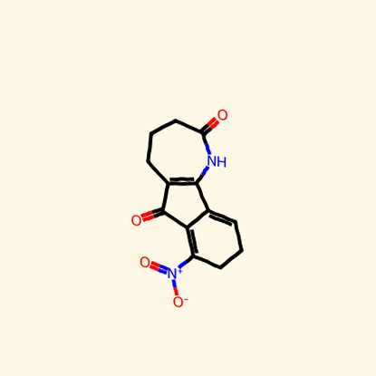 O=C1CCCC2=C(N1)C1=CCCC([N+](=O)[O-])=C1C2=O